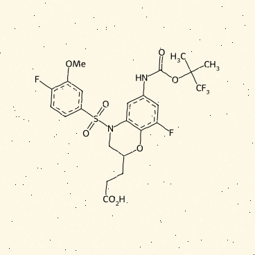 COc1cc(S(=O)(=O)N2CC(CCC(=O)O)Oc3c(F)cc(NC(=O)OC(C)(C)C(F)(F)F)cc32)ccc1F